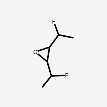 CC(F)C1OC1C(C)F